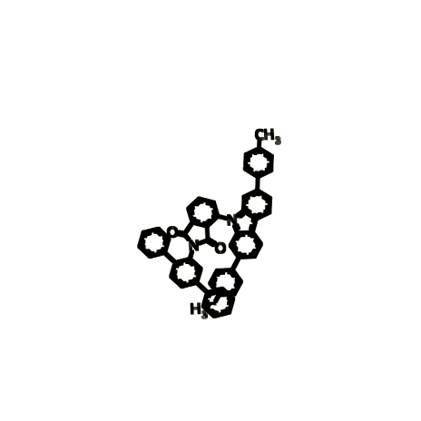 Cc1ccc(-c2ccc3c4ccc(-c5ccc(C)cc5)cc4n(-c4cccc5c4C(=O)N(c4cc(-c6ccccc6)ccc4-c4ccccc4)C5=O)c3c2)cc1